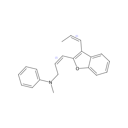 C/C=C\c1c(/C=C\CN(C)c2ccccc2)oc2ccccc12